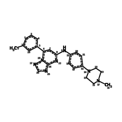 Cc1cccc(-c2cc(Nc3ccc(N4CCN(C)CC4)cc3)nc3ncnn23)c1